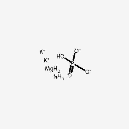 N.O=P([O-])([O-])O.[K+].[K+].[MgH2]